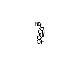 C[C@]12CCC(O)C=C1CC[C@H]1C3CC=C(c4cccnc4)[C@@]3(C)CC[C@@H]12